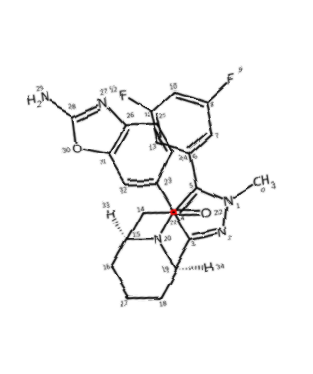 Cn1nc2c(c1-c1cc(F)cc(F)c1)C[C@@H]1CCC[C@H]2N1C(=O)c1ccc2nc(N)oc2c1